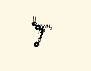 Nc1nc2cc(-c3cc[nH]n3)ccc2c2nc(CCCOCc3ccccc3)oc12